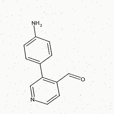 Nc1ccc(-c2cnccc2C=O)cc1